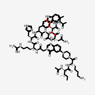 CC[C@H](C)[C@H](NC(C)=O)C(=O)N[C@@H](CCCCN)C(=O)N1CCN(c2ccc3ncn(CC(=O)N[C@@H](CCCNC(=N)N)C(=O)N[C@@H](Cc4c[nH]cn4)C(=O)NC(Cc4ccc(O)cc4)C(=O)N[C@@H](CC(C)C)C(=O)N[C@@H](CC(N)=O)C(=O)N[C@@H](Cc4c[nH]c5ccccc45)C(=O)N[C@H](C(C)=O)C(C)C)c(=O)c3c2)CC1